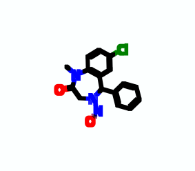 CN1C(=O)CN(N=O)C(c2ccccc2)c2cc(Cl)ccc21